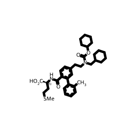 CSCC[C@H](NC(=O)c1ccc(CCN(CC2CCCCC2)C(=O)OC2CCCCC2)cc1-c1ccccc1C)C(=O)O